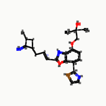 CCC1CC(C/C=C/c2nc3c(OCC(C)(C)O)ccc(-c4nccs4)c3o2)C1=N